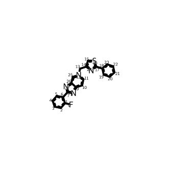 Fc1ccccc1-c1nc2ccn(Cc3csc(-c4ccccc4)n3)cc-2n1